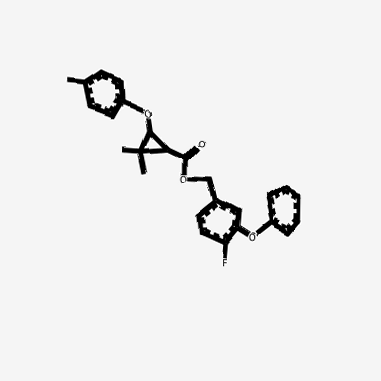 Cc1ccc(OC2C(C(=O)OCc3ccc(F)c(Oc4ccccc4)c3)C2(C)C)cc1